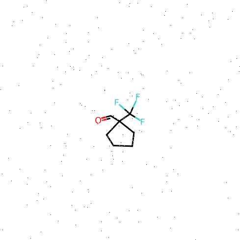 O=[C]C1(C(F)(F)F)CCCC1